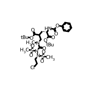 CN(CC(C[C@H](NC(=O)Oc1ccccc1)C(=O)OC(C)(C)C)C(=O)OC(C)(C)C)C(=O)N(N(CCCl)S(C)(=O)=O)S(C)(=O)=O